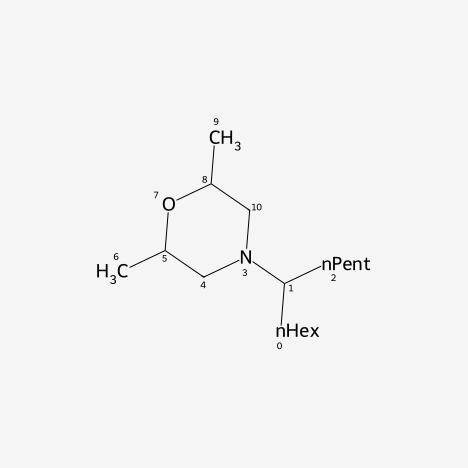 CCCCCCC(CCCCC)N1CC(C)OC(C)C1